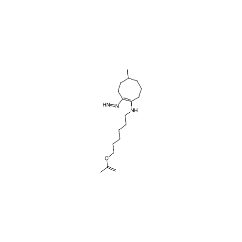 C=C(C)OCCCCCCN/C1=C(\N=N)CCC(C)CCC1